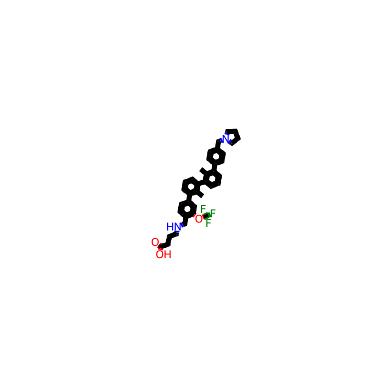 Cc1c(-c2ccc(CN3CCCC3)cc2)cccc1-c1cccc(-c2ccc(CNCCCC(=O)O)c(OC(F)(F)F)c2)c1C